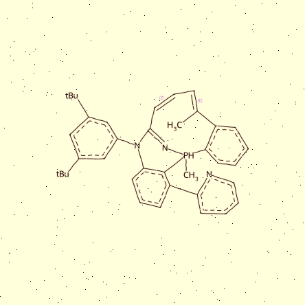 C/C1=C\C=C/C2=N[PH](C)(c3ccccc31)c1c(-c3ccccn3)cccc1N2c1cc(C(C)(C)C)cc(C(C)(C)C)c1